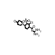 CCc1c(C(=O)N=C(N)N)ccc(-n2ccc(=O)cc2)c1S(C)(=O)=O